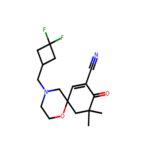 CC1(C)CC2(C=C(C#N)C1=O)CN(CC1CC(F)(F)C1)CCO2